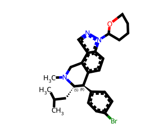 CC(C)C[C@H]1[C@H](c2ccc(Br)cc2)c2ccc3c(cnn3C3CCCCO3)c2CN1C